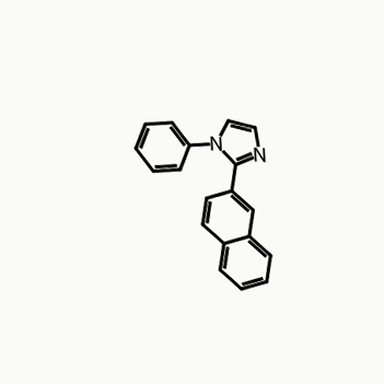 c1ccc(-n2ccnc2-c2ccc3ccccc3c2)cc1